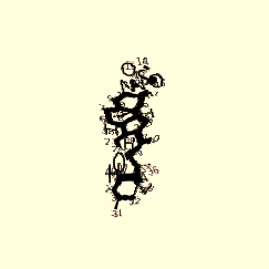 CC1=C2C[C@H]3[C@@H](CCC4Cc5nn(S(C)(=O)=O)cc5C[C@@]43C)[C@@H]2CC[C@@]2(C1)O[C@@H]1C[C@H](C)CN=C1[C@H]2C